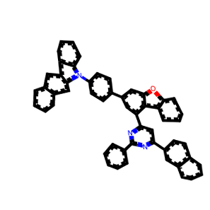 c1ccc(-c2nc(-c3ccc4ccccc4c3)cc(-c3cc(-c4ccc(-n5c6ccccc6c6cc7ccccc7cc65)cc4)cc4oc5ccccc5c34)n2)cc1